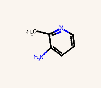 [CH2]c1ncccc1N